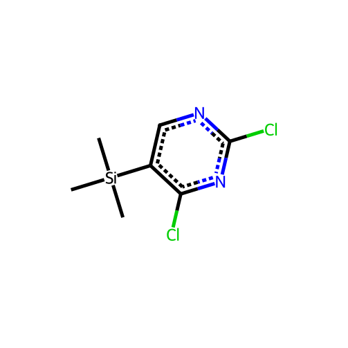 C[Si](C)(C)c1cnc(Cl)nc1Cl